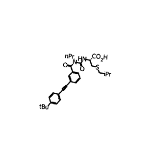 CCCN(C(=O)N[C@@H](CSCC(C)C)C(=O)O)C(=O)c1cccc(C#Cc2ccc(C(C)(C)C)cc2)c1